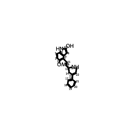 COc1ccc2[nH]c(O)cc2c1CCC1CC(c2ccccc2)=CCN1